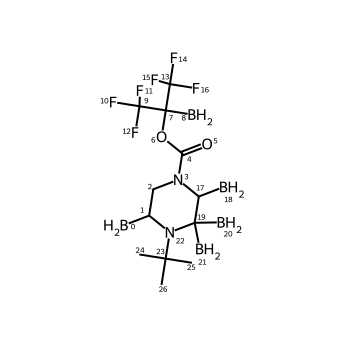 BC1CN(C(=O)OC(B)(C(F)(F)F)C(F)(F)F)C(B)C(B)(B)N1C(C)(C)C